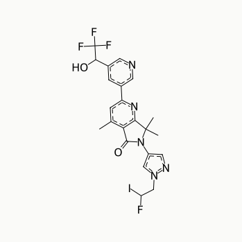 Cc1cc(-c2cncc(C(O)C(F)(F)F)c2)nc2c1C(=O)N(c1cnn(CC(F)I)c1)C2(C)C